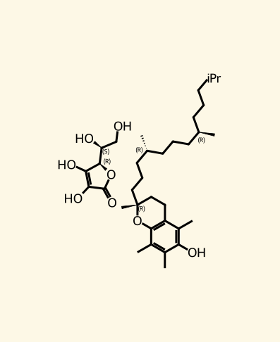 Cc1c(C)c2c(c(C)c1O)CC[C@@](C)(CCC[C@H](C)CCC[C@H](C)CCCC(C)C)O2.O=C1O[C@H]([C@@H](O)CO)C(O)=C1O